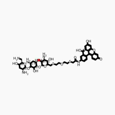 NC[C@H]1O[C@H](OC2C(O)[C@@H](O[C@H]3OC(CSCCOCCSCC(=O)Nc4ccc(-c5c6ccc(=O)cc-6oc6cc(O)ccc56)c(C(=O)O)c4)[C@@H](O)[C@H](N)C3O)[C@H](N)C[C@@H]2N)[C@H](N)CC1O